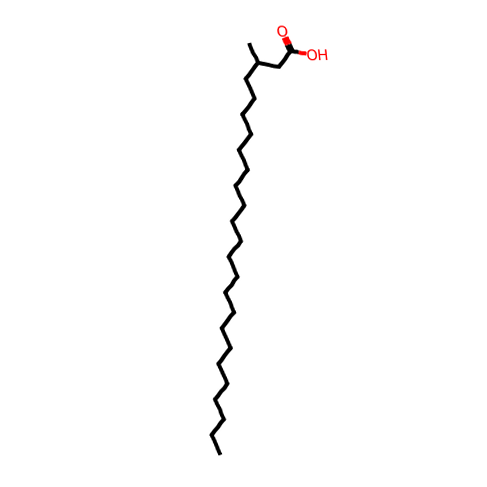 CCCCCCCCCCCCCCCCCCCCCCC(C)CC(=O)O